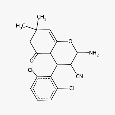 CC1(C)C=C2OC(N)C(C#N)C(c3c(Cl)cccc3Cl)C2C(=O)C1